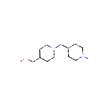 COCC1CCN(CC2CCN(C)CC2)CC1